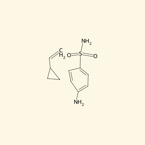 C=CC1CC1.Nc1ccc(S(N)(=O)=O)cc1